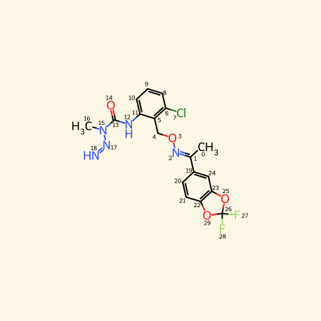 CC(=NOCc1c(Cl)cccc1NC(=O)N(C)N=N)c1ccc2c(c1)OC(F)(F)O2